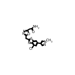 Cn1cc(-c2cc(Cl)c3nc(Cc4nnc(CC(N)=O)o4)sc3c2)cn1